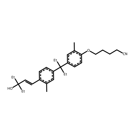 CCC(O)(C=Cc1ccc(C(CC)(CC)c2ccc(OCCCCC#N)c(C)c2)cc1C)CC